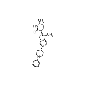 C=C1CCC(N2Cc3cc(C4CCN(c5ccccc5)CC4)ccc3C2=C)C(=O)N1